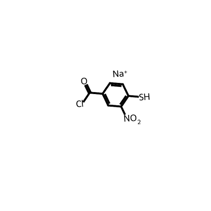 O=C(Cl)c1ccc(S)c([N+](=O)[O-])c1.[Na+]